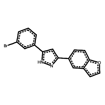 Brc1cccc(-c2cc(-c3ccc4occc4c3)n[nH]2)c1